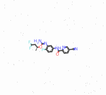 C[C@@H](CC(F)F)O/C(N)=N\c1cc(NC(=O)c2ccc(C#N)cn2)ccc1F